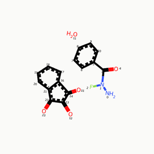 NN(F)C(=O)c1ccccc1.O.O=c1c(=O)c2ccccc2c1=O